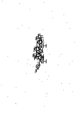 CCCOCCNc1cc(C(F)(F)F)c(-c2cnc3c(Nc4ccc(C(F)(F)F)cn4)ccnc3n2)nn1